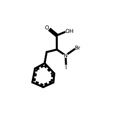 O=C(O)C(Cc1ccccc1)N(Br)I